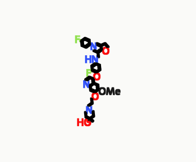 COc1cc2c(Oc3ccc(NCC4=C5OCCC5=CN(c5ccc(F)cc5)C4)cc3F)ccnc2cc1OCCCN1CCC(C)(O)CC1